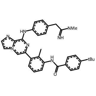 CNC(=N)Cc1ccc(Nc2nc(-c3cccc(NC(=O)c4ccc(C(C)(C)C)cc4)c3C)cn3ccnc23)cc1